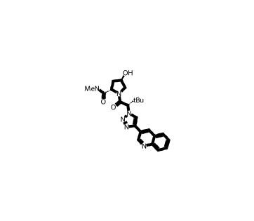 CNC(=O)[C@@H]1C[C@@H](O)CN1C(=O)[C@@H](n1cc(-c2cnc3ccccc3c2)nn1)C(C)(C)C